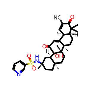 CC1(C)C(=O)C(C#N)=C[C@]2(C)C3=CC(=O)[C@]4(O)[C@@H]5C[C@@](C)(NS(=O)(=O)c6cccnc6)CC[C@]5(C)CC[C@@]4(C)[C@]3(C)CC[C@@H]12